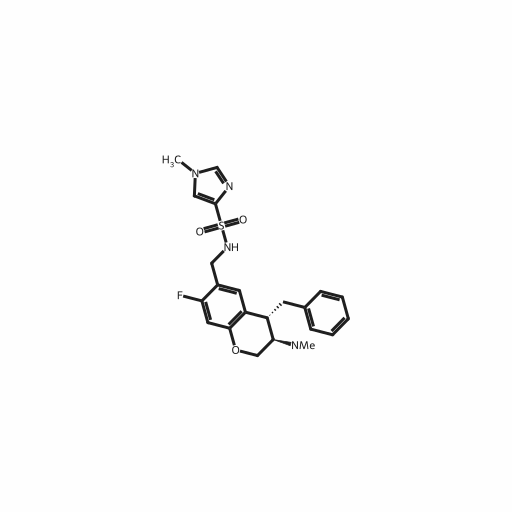 CN[C@H]1COc2cc(F)c(CNS(=O)(=O)c3cn(C)cn3)cc2[C@@H]1Cc1ccccc1